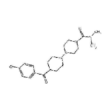 CN(C)C(=O)N1CCN(N2CCC(C(=O)c3ccc(Cl)cc3)CC2)CC1